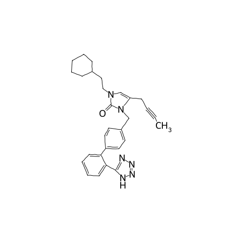 CC#CCc1cn(CCC2CCCCC2)c(=O)n1Cc1ccc(-c2ccccc2-c2nnn[nH]2)cc1